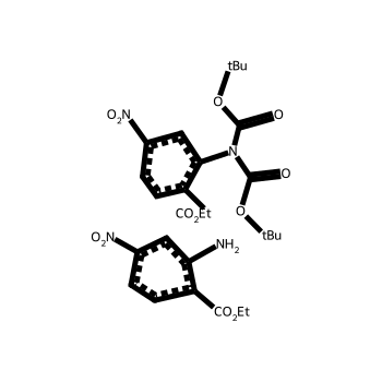 CCOC(=O)c1ccc([N+](=O)[O-])cc1N.CCOC(=O)c1ccc([N+](=O)[O-])cc1N(C(=O)OC(C)(C)C)C(=O)OC(C)(C)C